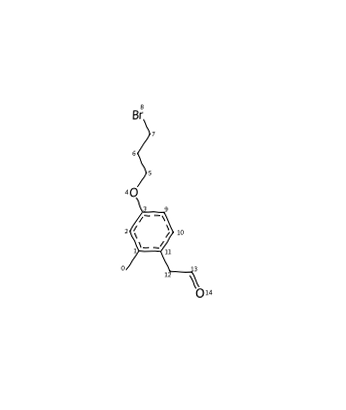 Cc1cc(OCCCBr)ccc1CC=O